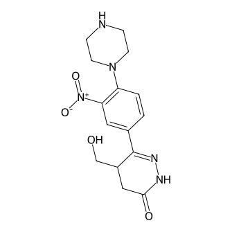 O=C1CC(CO)C(c2ccc(N3CCNCC3)c([N+](=O)[O-])c2)=NN1